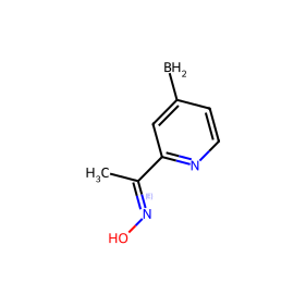 Bc1ccnc(/C(C)=N/O)c1